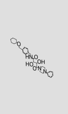 O=C(NCc1ccc(COC2CCCCC2)cc1)[C@H](O)[C@@H](O)C(=O)N1CCN(c2ccccc2)CC1